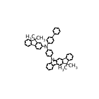 CC1(C)c2ccccc2-c2ccc(N(c3ccc(-c4ccccc4)cc3)c3ccc(-n4c5ccccc5c5cc6c(cc54)-c4ccccc4C6(C)C)cc3)cc21